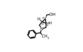 CC(c1ccccc1)N1C[C@@H]2[C@@H](CO)[C@@H]2C1